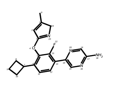 CC1=CC(Oc2c(C3CCC3)ccc(-c3cnc(N)cn3)c2F)=NC1